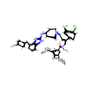 COc1cc(C(=O)N(C)CC(CCN2CCC(Nc3nc4c(Cc5ccc(F)cc5)cccc4[nH]3)CC2)c2ccc(Cl)c(Cl)c2)cc(OC)c1OC